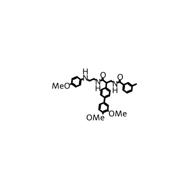 COc1ccc(NCCNC(=O)C(CNC(=O)c2cccc(C)c2)c2ccc(-c3ccc(OC)c(OC)c3)cc2)cc1